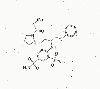 CC(C)(C)OC(=O)N1CCC[C@H]1CCC(CSc1ccccc1)Nc1ccc(S(N)(=O)=O)cc1S(=O)(=O)C(F)(F)F